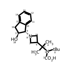 CC(C)(C)N(C(=O)O)C(C)(C)C1CN([C@H]2c3ccccc3C[C@@H]2O)C1